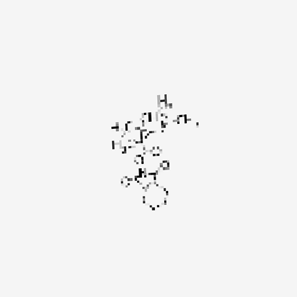 CC(C)=CC1C(C)(C)C1(C)C(=O)ON1C(=O)C2=C(CCCC2)C1=O